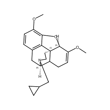 COC1=CCC2[C@H]3Cc4ccc(OC)c5c4[C@@]2(CCN3CC2CC2)[C@H]1O5